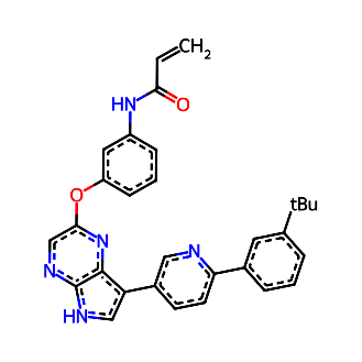 C=CC(=O)Nc1cccc(Oc2cnc3[nH]cc(-c4ccc(-c5cccc(C(C)(C)C)c5)nc4)c3n2)c1